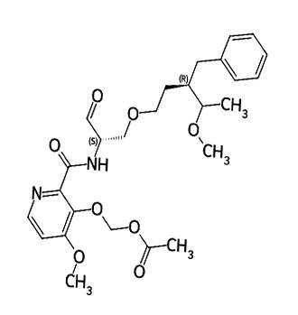 COc1ccnc(C(=O)N[C@H](C=O)COCC[C@@H](Cc2ccccc2)C(C)OC)c1OCOC(C)=O